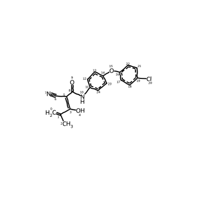 C=C(C)C(O)=C(C#N)C(=O)Nc1ccc(Oc2ccc(Cl)cc2)cc1